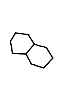 [CH]1C[CH]C2CCC[CH]C2C1